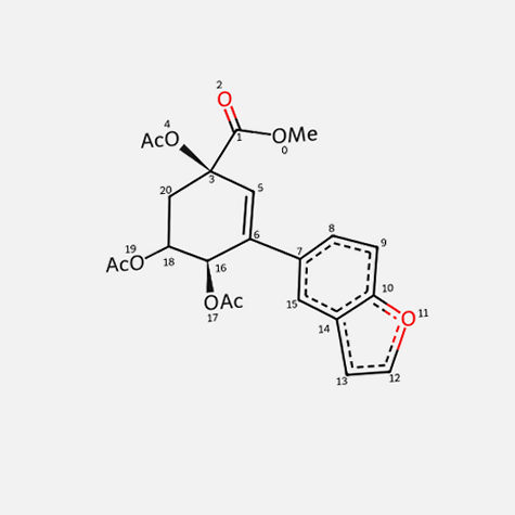 COC(=O)[C@]1(OC(C)=O)C=C(c2ccc3occc3c2)[C@@H](OC(C)=O)C(OC(C)=O)C1